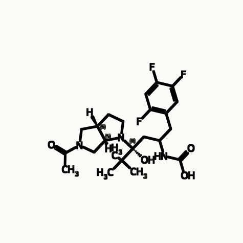 CC(=O)N1C[C@@H]2CCN([C@@](O)(CC(Cc3cc(F)c(F)cc3F)NC(=O)O)C(C)(C)C)[C@@H]2C1